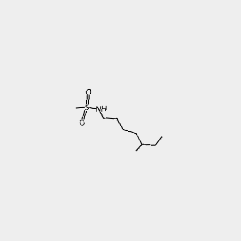 CCC(C)CCCCNS(C)(=O)=O